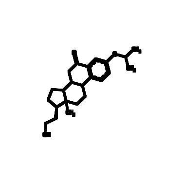 CC(C)Oc1ccc2c(c1)C(=O)CC1C2CCC2(C)C1CC[C@@H]2CCO